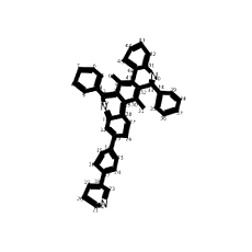 Cc1c2c(-c3ccccc3)nc3cc(-c4ccc(-c5cccnc5)cc4)ccc3c2c(C)c2c(-c3ccccc3)nc3ccccc3c12